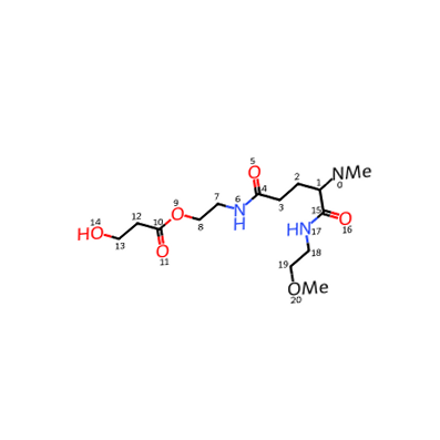 CNC(CCC(=O)NCCOC(=O)CCO)C(=O)NCCOC